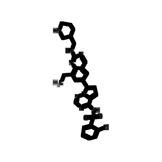 CCc1cc(-c2ccc3c(NS(=O)(=O)c4ccccc4Cl)ncnn23)cc2cnc(NCC3CCCNC3)nc12